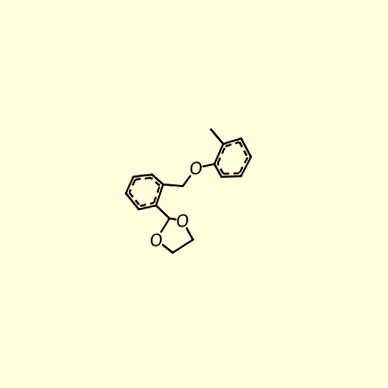 Cc1ccccc1OCc1ccccc1C1OCCO1